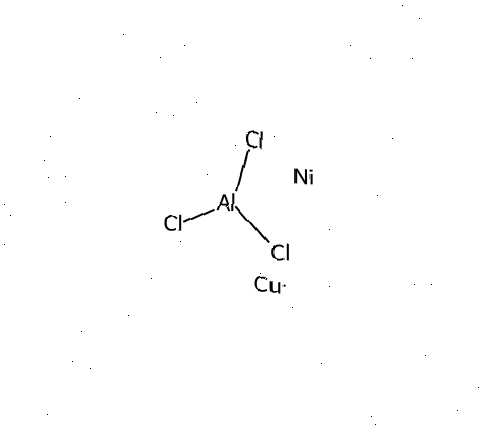 [Cl][Al]([Cl])[Cl].[Cu].[Ni]